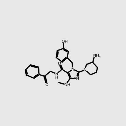 CNc1nc(N2CCCC(N)C2)n(Cc2cccc(O)c2)c1C(=O)NCC(=O)c1ccccc1